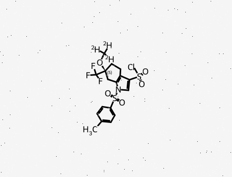 [2H]C([2H])([2H])O[C@@]1(C(F)(F)F)CCc2c(S(=O)(=O)Cl)cn(S(=O)(=O)c3ccc(C)cc3)c2C1